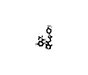 Cc1cncc2c1c(CC1CN(C3CCC(N)CC3)C1)cn2-c1ccc(F)cc1C(=O)N(C)C(C)C